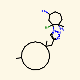 CC1CCCCCCCCC(C)(Cc2cn(C3(Br)CC(N)CCCC3(C)N)nn2)CCCCC1